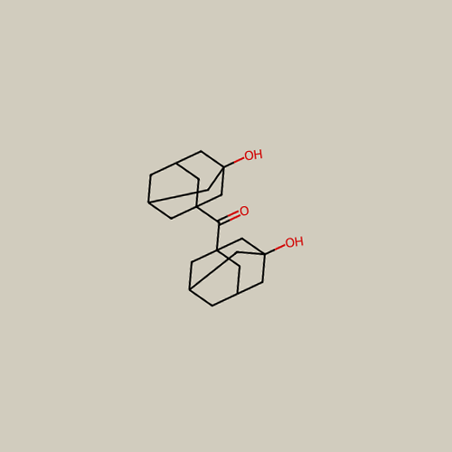 O=C(C12CC3CC(CC(O)(C3)C1)C2)C12CC3CC(CC(O)(C3)C1)C2